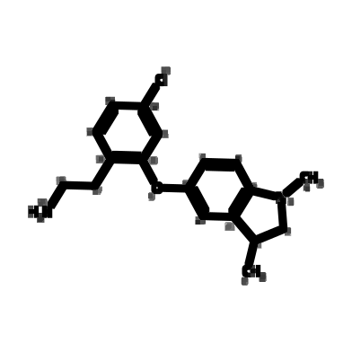 CC1CN(C)c2ccc(Oc3cc(Cl)ccc3CCN)cc21